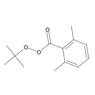 Cc1cccc(C)c1C(=O)OOC(C)(C)C